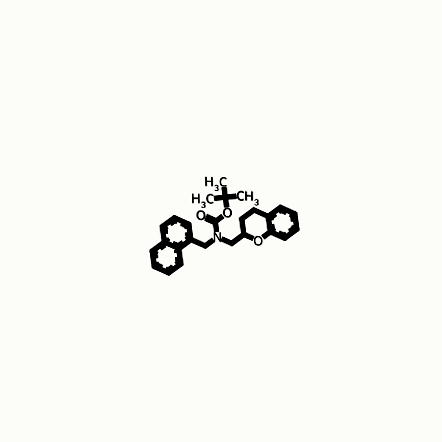 CC(C)(C)OC(=O)N(Cc1cccc2ccccc12)CC1CCc2ccccc2O1